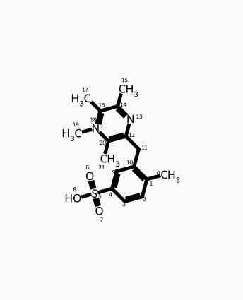 Cc1ccc(S(=O)(=O)O)cc1Cc1nc(C)c(C)[n+](C)c1C